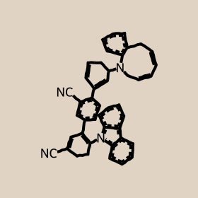 N#CC1=CC(c2ccc(C3=CC(N4C/C=C\C=C/Cc5ccccc54)CC=C3)c(C#N)c2)=C(n2c3ccccc3c3ccccc32)CC1